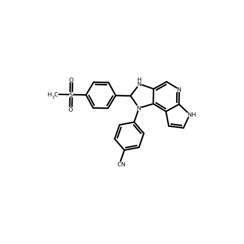 CS(=O)(=O)c1ccc(C2Nc3cnc4[nH]ccc4c3N2c2ccc(C#N)cc2)cc1